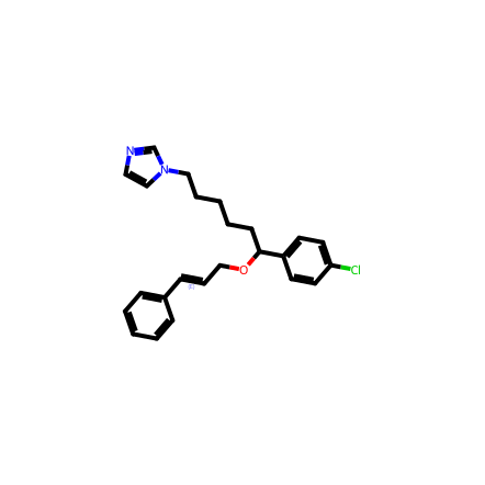 Clc1ccc(C(CCCCCn2ccnc2)OC/C=C/c2ccccc2)cc1